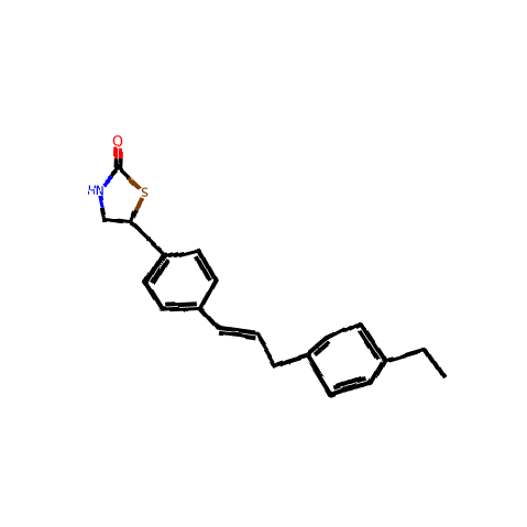 CCc1ccc(C/C=C/c2ccc(C3CNC(=O)S3)cc2)cc1